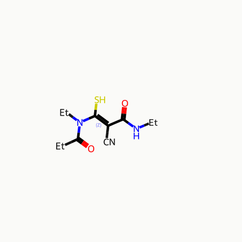 CCNC(=O)/C(C#N)=C(\S)N(CC)C(=O)CC